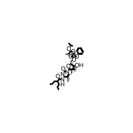 CCCC(CCC)C(=O)Nc1nc(=O)n([C@@H]2O[C@H](COP(=O)(Oc3ccccc3)O[C@@H](C)C(=O)OC(C)C)[C@@H](O)C2(F)F)cc1F